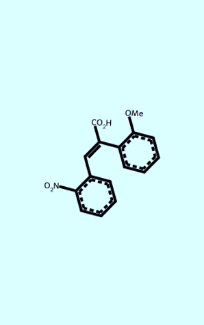 COc1ccccc1/C(=C\c1ccccc1[N+](=O)[O-])C(=O)O